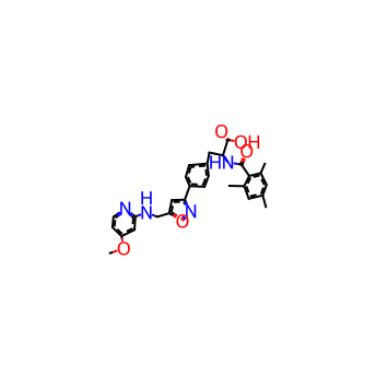 COc1ccnc(NCc2cc(-c3ccc(CC(NC(=O)c4c(C)cc(C)cc4C)C(=O)O)cc3)no2)c1